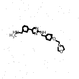 CNCc1cccc(-c2cnc(NCc3ccc(OCCN4CCOCC4)cc3)nc2)c1